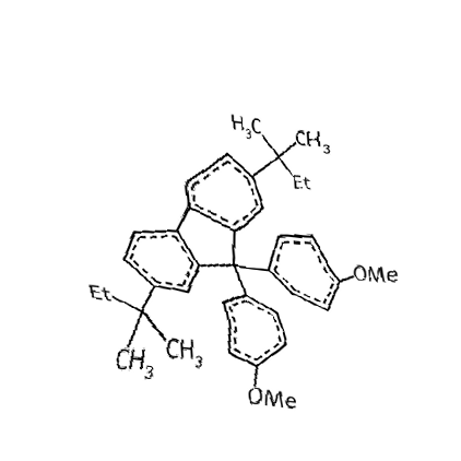 CCC(C)(C)c1ccc2c(c1)C(c1ccc(OC)cc1)(c1ccc(OC)cc1)c1cc(C(C)(C)CC)ccc1-2